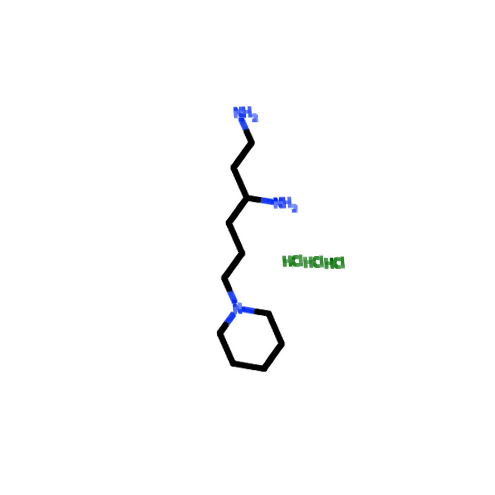 Cl.Cl.Cl.NCCC(N)CCCN1CCCCC1